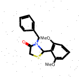 COc1cccc(OC)c1C1SCC(=O)N1Cc1ccccc1